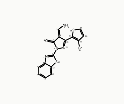 NC=C1C(=O)N(c2nc3ccccc3s2)N=C1c1sccc1Br